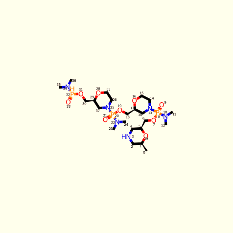 C[C@H]1CNC[C@@H](COP(=O)(N(C)C)N2CCO[C@H](COP(=O)(N(C)C)N3CCO[C@H](CO[PH](=O)N(C)C)C3)C2)O1